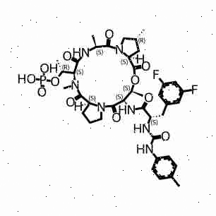 Cc1ccc(NC(=O)N[C@@H](Cc2cc(F)cc(F)c2)C(=O)N[C@@H]2C(=O)N3CCC[C@H]3C(=O)N(C)[C@@H]([C@@H](C)OP(=O)(O)O)C(=O)N[C@@H](C)C(=O)N3C[C@H](C)C[C@H]3C(=O)O[C@H]2C)cc1